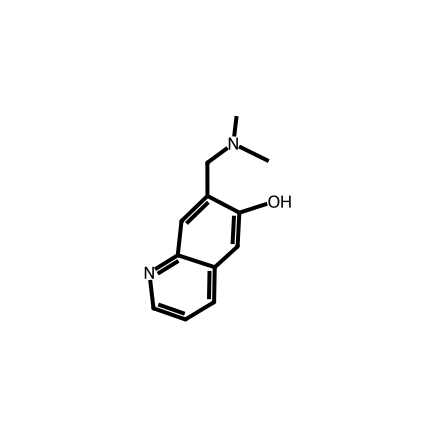 CN(C)Cc1cc2ncccc2cc1O